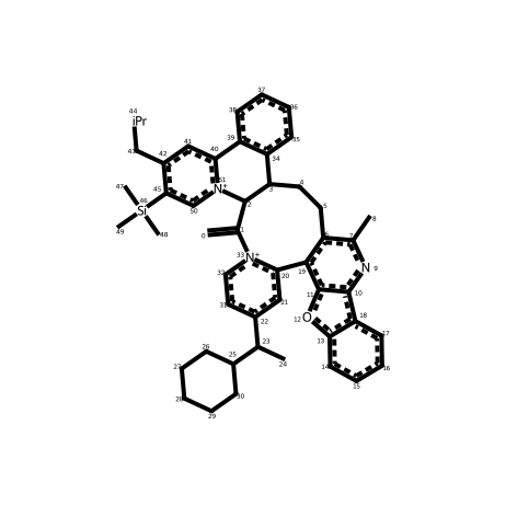 C=C1C2C(CCc3c(C)nc4c(oc5ccccc54)c3-c3cc(C(C)C4CCCCC4)cc[n+]31)c1ccccc1-c1cc(CC(C)C)c([Si](C)(C)C)c[n+]12